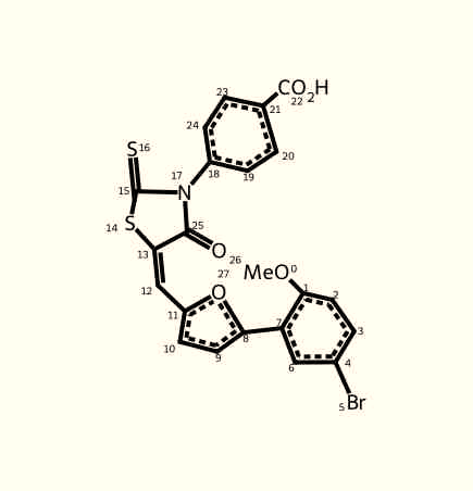 COc1ccc(Br)cc1-c1ccc(C=C2SC(=S)N(c3ccc(C(=O)O)cc3)C2=O)o1